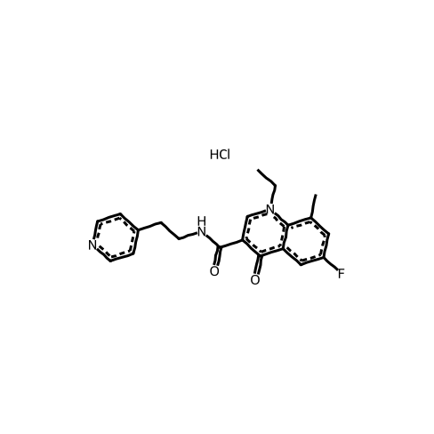 CCn1cc(C(=O)NCCc2ccncc2)c(=O)c2cc(F)cc(C)c21.Cl